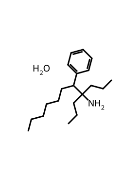 CCCCCCC(c1ccccc1)C(N)(CCC)CCC.O